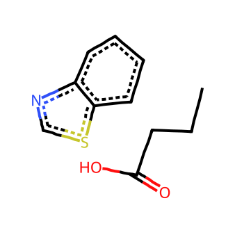 CCCC(=O)O.c1ccc2scnc2c1